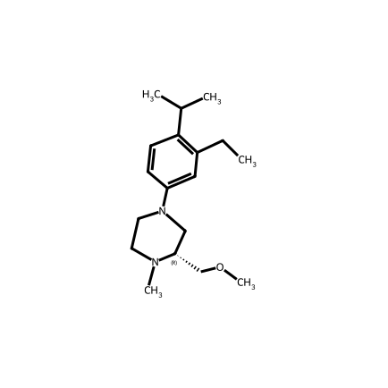 CCc1cc(N2CCN(C)[C@@H](COC)C2)ccc1C(C)C